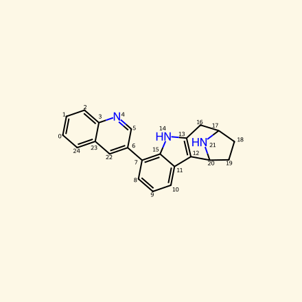 c1ccc2ncc(-c3cccc4c5c([nH]c34)CC3CCC5N3)cc2c1